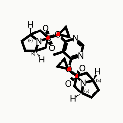 Cc1c(OC2C[C@H]3CC[C@H](C2)N3S(=O)(=O)C2CC2)ncnc1OC1C[C@@H]2CC[C@@H](C1)N2S(=O)(=O)C1CC1